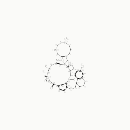 CO[C@]1(CN2CCCN(C(C)=O)CCNCC2)/C=C/C[C@H](C)[C@@H](C)S(=O)(=O)NC(=O)c2ccc3c(c2)N(C[C@@H]2CC[C@H]21)C[C@@]1(CCCc2cc(Cl)ccc21)CO3